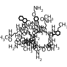 CCCc1cccc2c(C[C@@H]3NC(=O)[C@H]([C@@H](C)O)NC(=O)[C@H](CC(N)=O)NC(=O)[C@@H](NC(C)=O)C(C)(C)SSC(C)(C)[C@@H](C(=O)N[C@@H](Cc4ccc(OCCN)cc4)C(=O)N[C@@H](Cc4ccc5ccccc5c4)C(=O)N[C@@](C)(CCCCN)C(=O)N[C@@H](CCCCNC(C)=O)C(=O)N[C@@H](CC(N)=O)C(=O)N[C@H](CC(C)C)C(N)=O)NC(=O)[C@H](CCCCNC(C)=O)NC3=O)c[nH]c12